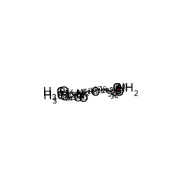 CC1(C)OCc2cc([C@@H]3CN(CCCCCOCCCC#Cc4cccc(S(N)(=O)=O)c4)C(=O)O3)ccc2O1